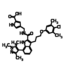 Cc1cc(OCCCc2c(C(=O)NCc3c[nH]c(C(=O)O)c3)[nH]c3c(-c4c(C)nn(C)c4C)cccc23)cc(C)c1Cl